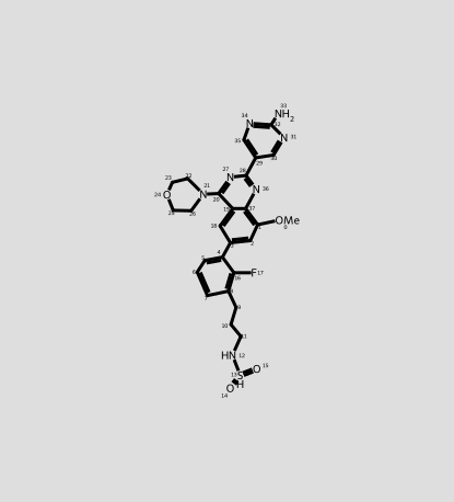 COc1cc(-c2cccc(CCCN[SH](=O)=O)c2F)cc2c(N3CCOCC3)nc(-c3cnc(N)nc3)nc12